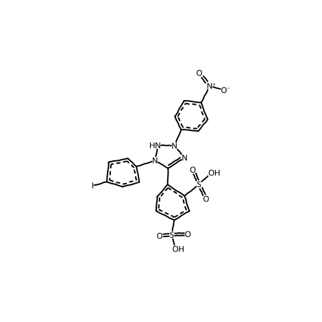 O=[N+]([O-])c1ccc(N2N=C(c3ccc(S(=O)(=O)O)cc3S(=O)(=O)O)N(c3ccc(I)cc3)N2)cc1